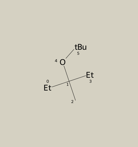 CCC(C)(CC)OC(C)(C)C